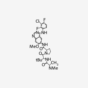 CNC(C)C(=O)NC(C(=O)N1CCCC1C(=O)Nc1cc2c(Nc3ccc(F)c(Cl)c3F)ncnc2cc1OC)C(C)(C)C